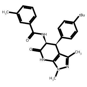 Cc1cccc(C(=O)N[C@@H]2C(=O)Nc3c(c(C)nn3C)[C@@H]2c2ccc(C(C)(C)C)cc2)c1